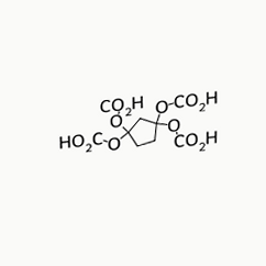 O=C(O)OC1(OC(=O)O)CCC(OC(=O)O)(OC(=O)O)C1